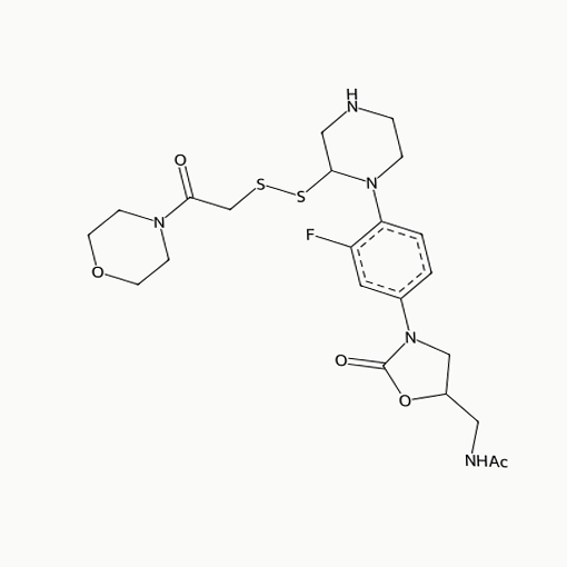 CC(=O)NCC1CN(c2ccc(N3CCNCC3SSCC(=O)N3CCOCC3)c(F)c2)C(=O)O1